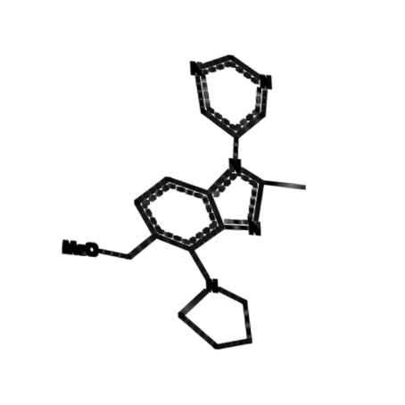 COCc1ccc2c(nc(C)n2-c2cncnc2)c1N1CCCC1